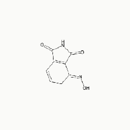 O=C1NC(=O)C2=C1C=CCC2=NO